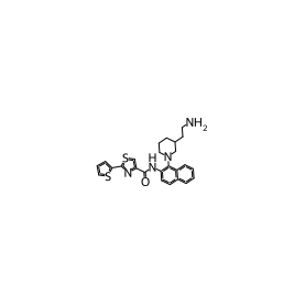 NCCC1CCCN(c2c(NC(=O)c3csc(-c4cccs4)n3)ccc3ccccc23)C1